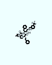 CC(=O)N[C@]1(CC(C)C)CCN([C@@H](CCc2ccccc2)C(=O)NC(Cc2ccccc2)[C@H](O)CNCc2cccc(C(F)(F)F)c2)C1=O